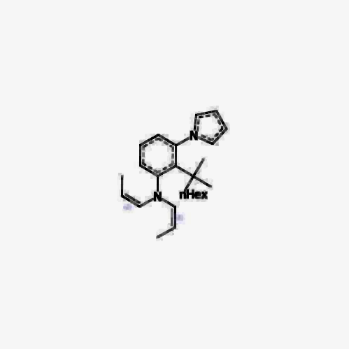 C/C=C\N(/C=C\C)c1cccc(-n2cccc2)c1C(C)(C)CCCCCC